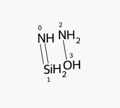 N=[SiH2].NO